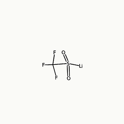 [Li][S](=O)(=O)C(F)(F)F